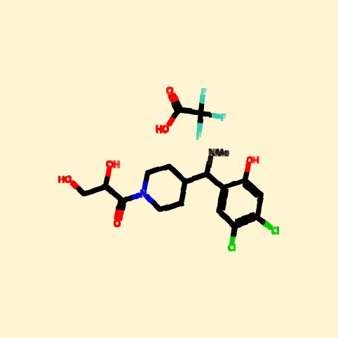 CNC(c1cc(Cl)c(Cl)cc1O)C1CCN(C(=O)C(O)CO)CC1.O=C(O)C(F)(F)F